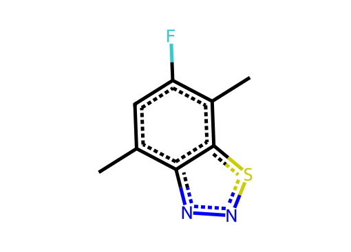 Cc1cc(F)c(C)c2snnc12